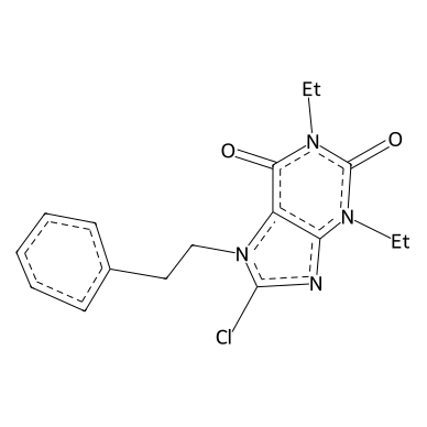 CCn1c(=O)c2c(nc(Cl)n2CCc2ccccc2)n(CC)c1=O